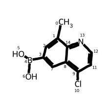 Cc1cc(B(O)O)cc2c(Cl)ccnc12